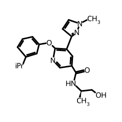 CC(C)c1cccc(Oc2ncc(C(=O)N[C@H](C)CO)cc2-c2ccn(C)n2)c1